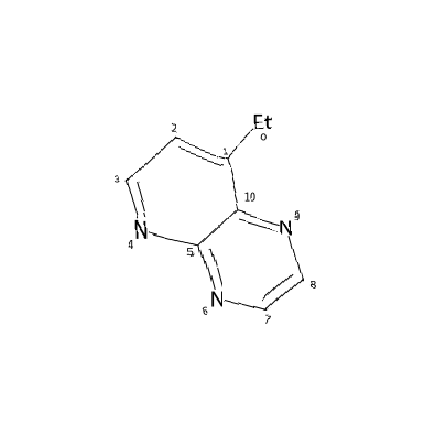 CCc1ccnc2nccnc12